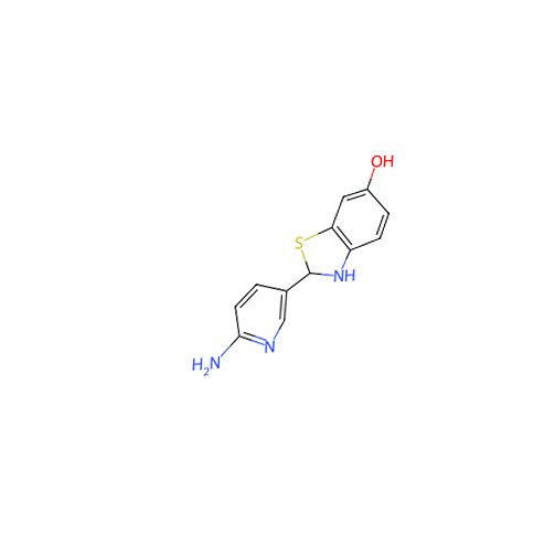 Nc1ccc(C2Nc3ccc(O)cc3S2)cn1